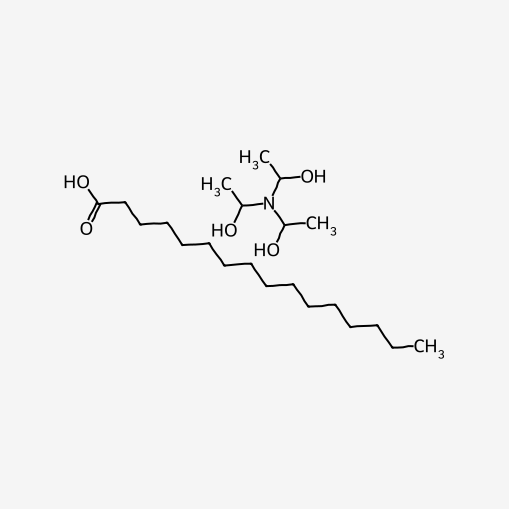 CC(O)N(C(C)O)C(C)O.CCCCCCCCCCCCCCCC(=O)O